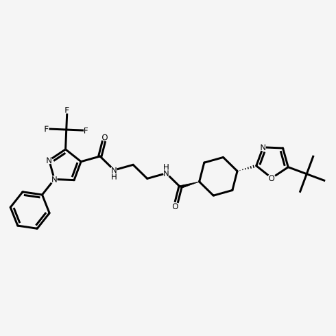 CC(C)(C)c1cnc([C@H]2CC[C@H](C(=O)NCCNC(=O)c3cn(-c4ccccc4)nc3C(F)(F)F)CC2)o1